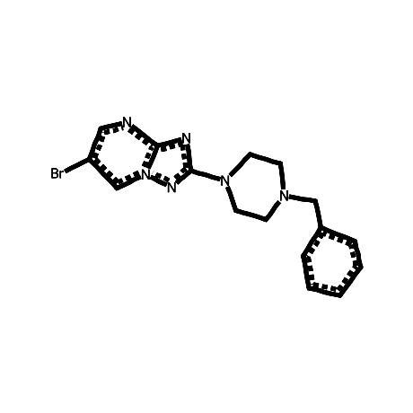 Brc1cnc2nc(N3CCN(Cc4ccccc4)CC3)nn2c1